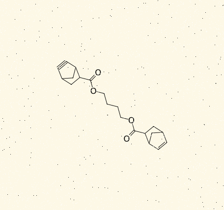 O=C(OCCCCOC(=O)C1CC2C=CC1C2)C1CC2C#CC1C2